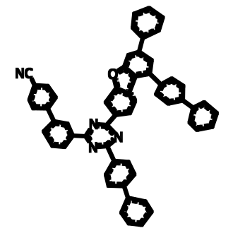 N#Cc1ccc(-c2cccc(-c3nc(-c4ccc(-c5ccccc5)cc4)nc(-c4ccc5c(c4)oc4cc(-c6ccccc6)cc(-c6ccc(-c7ccccc7)cc6)c45)n3)c2)cc1